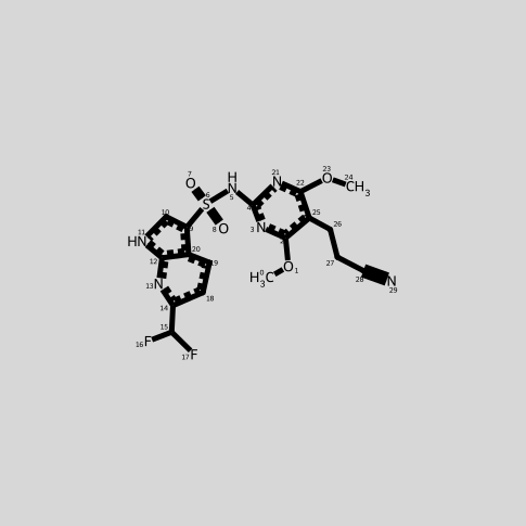 COc1nc(NS(=O)(=O)c2c[nH]c3nc(C(F)F)ccc23)nc(OC)c1CCC#N